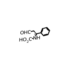 O=CC[C@H](NC(=O)O)c1ccccc1